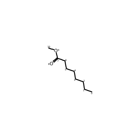 CCCCCCCC(=O)OC